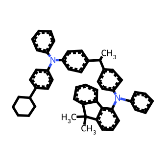 CC(c1ccc(N(c2ccccc2)c2ccc(C3CCCCC3)cc2)cc1)c1ccc(N(c2ccccc2)c2cccc3c2-c2ccccc2C3(C)C)cc1